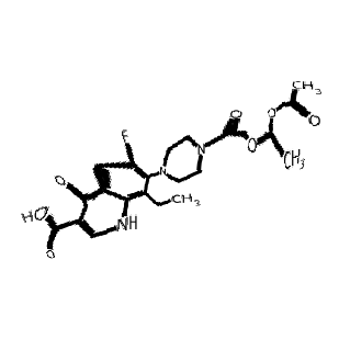 CCc1c(N2CCN(C(=O)OC(C)OC(C)=O)CC2)c(F)cc2c(=O)c(C(=O)O)c[nH]c12